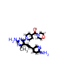 Cc1nc(N)nc(N2CCC(C(=O)N3CCOCC3)CC2)c1C#Cc1ccc(N)nc1